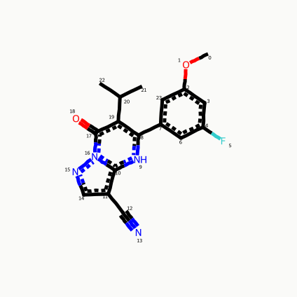 COc1cc(F)cc(-c2[nH]c3c(C#N)cnn3c(=O)c2C(C)C)c1